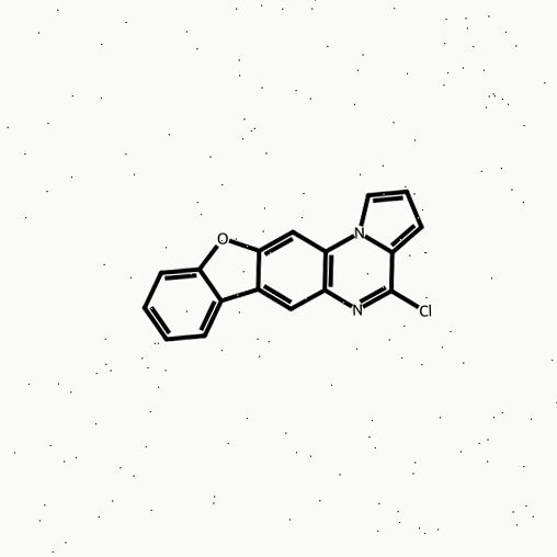 Clc1nc2cc3c(cc2n2cccc12)oc1ccccc13